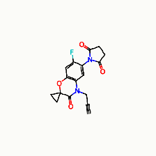 C#CCN1C(=O)C2(CC2)Oc2cc(F)c(N3C(=O)CCC3=O)cc21